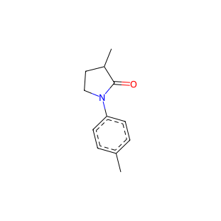 Cc1ccc(N2CCC(C)C2=O)cc1